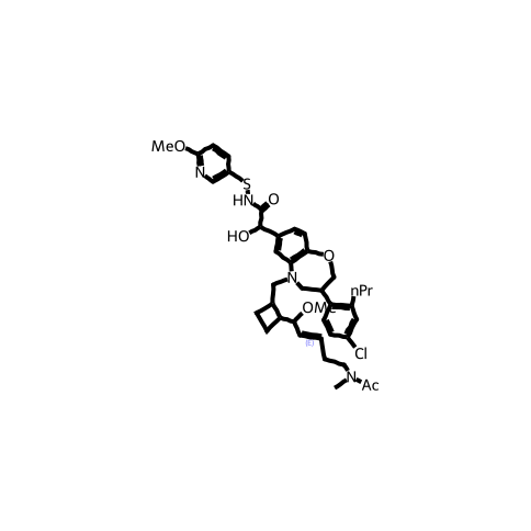 CCCc1cc(Cl)ccc1C1COc2ccc(C(O)C(=O)NSc3ccc(OC)nc3)cc2N(CC2CCC2C(/C=C/CCN(C)C(C)=O)OC)C1